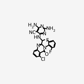 CC(Nc1nc(N)nc(N)c1C#N)c1nc2cccc(Cl)c2c(=O)n1-c1c(F)cccc1F